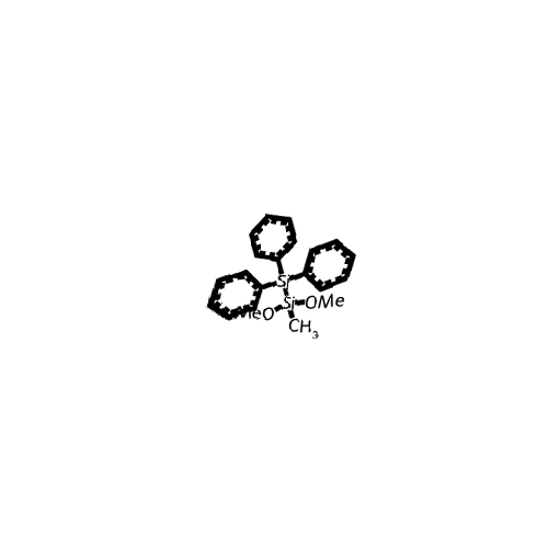 CO[Si](C)(OC)[Si](c1ccccc1)(c1ccccc1)c1ccccc1